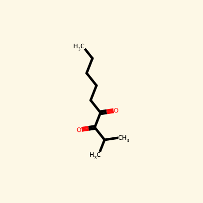 CCCCCC(=O)C(=O)C(C)C